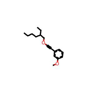 CCCCC(CC)COC#Cc1cccc(OC)c1